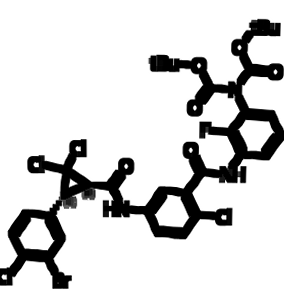 CC(C)(C)OC(=O)N(C(=O)OC(C)(C)C)c1cccc(NC(=O)c2cc(NC(=O)[C@H]3[C@H](c4ccc(Cl)c(Br)c4)C3(Cl)Cl)ccc2Cl)c1F